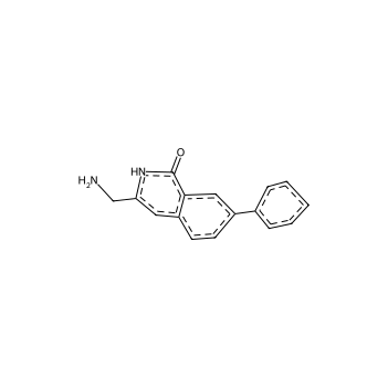 NCc1cc2ccc(-c3ccccc3)cc2c(=O)[nH]1